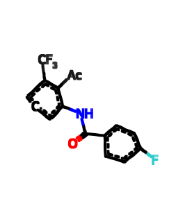 CC(=O)c1c(NC(=O)c2ccc(F)cc2)cccc1C(F)(F)F